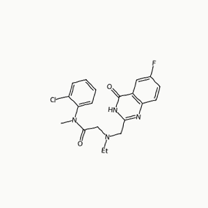 CCN(CC(=O)N(C)c1ccccc1Cl)Cc1nc2ccc(F)cc2c(=O)[nH]1